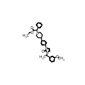 CCOC(=O)C(c1ccccc1)N1CCC(c2ccc(-n3ccn([C@H](C)c4cccc(OC)c4)c3=O)cc2)CC1